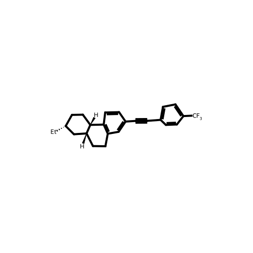 CC[C@@H]1CC[C@@H]2c3ccc(C#Cc4ccc(C(F)(F)F)cc4)cc3CC[C@@H]2C1